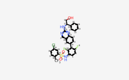 O=S(=O)(Nc1ccc(F)c(-c2ccc3nc(NC(CO)c4ccccc4)ncc3c2)c1F)c1cc(Cl)ccc1C(F)(F)F